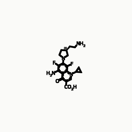 NCC[C@@H]1CCN(c2c(F)c(N)c3c(=O)c(C(=O)O)cn(C4CC4)c3c2F)C1